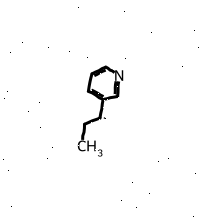 CC[CH]c1cccnc1